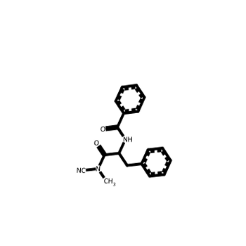 CN(C#N)C(=O)C(Cc1ccccc1)NC(=O)c1ccccc1